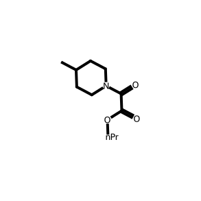 CCCOC(=O)C(=O)N1CCC(C)CC1